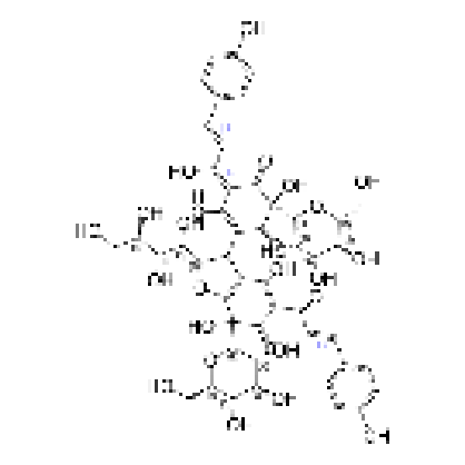 O=C(/C=C/c1ccc(O)cc1)C1=C(O)C2=C(O[C@H]([C@@H](O)[C@H](O)[C@H](O)CO)C2C2=C(O)/C(=C(O)/C=C/c3ccc(O)cc3)C(=O)C(O)([C@@H]3O[C@H](CO)[C@@H](O)[C@H](O)[C@H]3O)C2=O)C(O)([C@@H]2O[C@H](CO)[C@@H](O)[C@H](O)[C@H]2O)C1=O